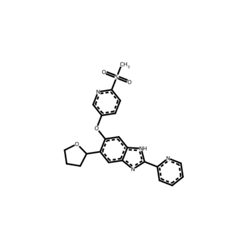 CS(=O)(=O)c1ccc(Oc2cc3[nH]c(-c4ccccn4)nc3cc2C2CCCO2)cn1